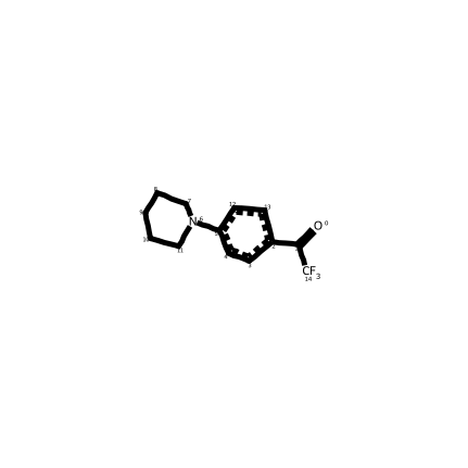 O=C(c1ccc(N2CCCCC2)cc1)C(F)(F)F